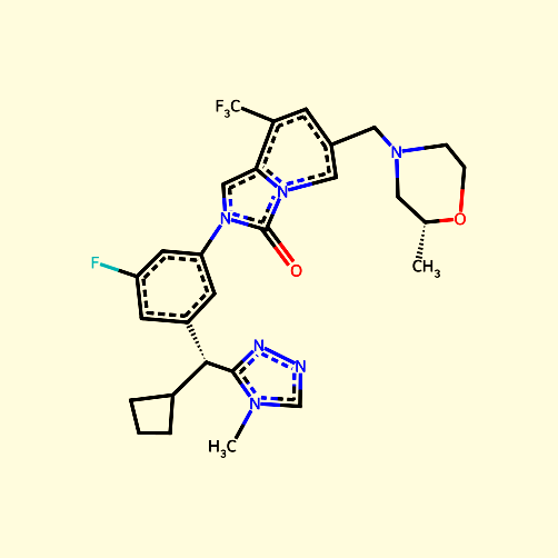 C[C@@H]1CN(Cc2cc(C(F)(F)F)c3cn(-c4cc(F)cc([C@H](c5nncn5C)C5CCC5)c4)c(=O)n3c2)CCO1